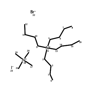 CCCC[N+](CCCC)(CCCC)CCCC.C[N+](C)(C)C.[Br-].[I-]